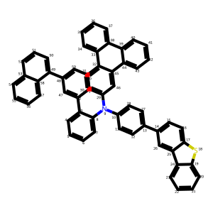 c1cc(-c2ccccc2N(c2ccc(-c3ccc4sc5ccccc5c4c3)cc2)c2ccc3c4ccccc4c4ccccc4c3c2)cc(-c2cccc3ccccc23)c1